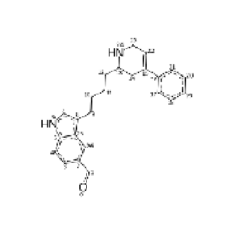 O=Cc1ccc2[nH]cc(CCCCC3CC(c4ccccc4)=CCN3)c2c1